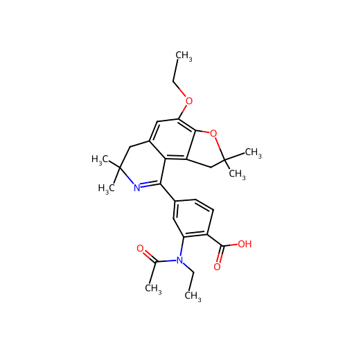 CCOc1cc2c(c3c1OC(C)(C)C3)C(c1ccc(C(=O)O)c(N(CC)C(C)=O)c1)=NC(C)(C)C2